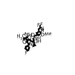 COc1cc(C(=O)NCC(O)(c2cc3c(c(-c4ccc(F)cc4)n2)OC[C@]3(C)C(N)=O)C2CC2)cc2cc(C(F)F)nnc12